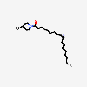 CCCCCCCC/C=C\CCCCCCCC(=O)N1CCC(C)CC1